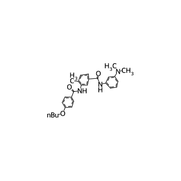 CCCCOc1ccc(C(=O)Nc2cc(C(=O)Nc3cccc(N(C)C)c3)ccc2C)cc1